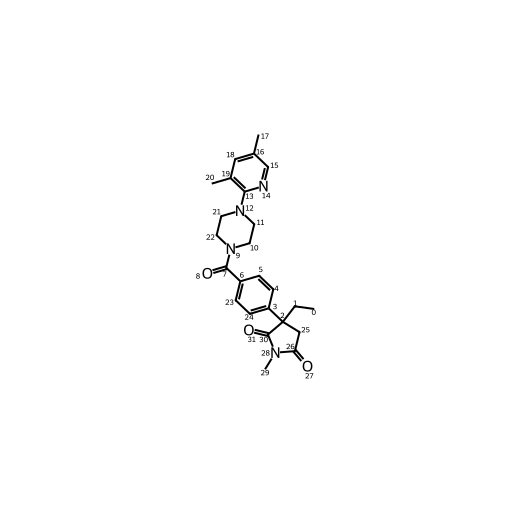 CCC1(c2ccc(C(=O)N3CCN(c4ncc(C)cc4C)CC3)cc2)CC(=O)N(C)C1=O